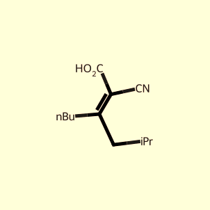 CCCCC(CC(C)C)=C(C#N)C(=O)O